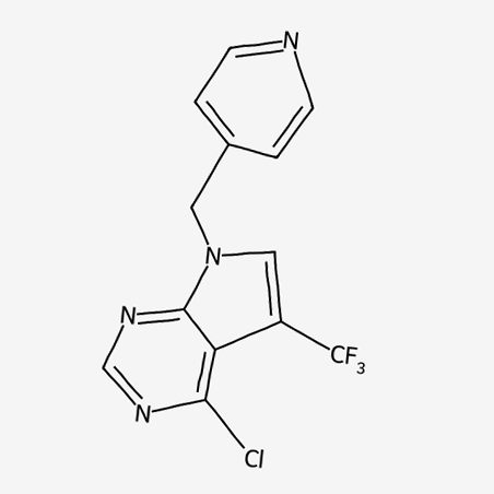 FC(F)(F)c1cn(Cc2ccncc2)c2ncnc(Cl)c12